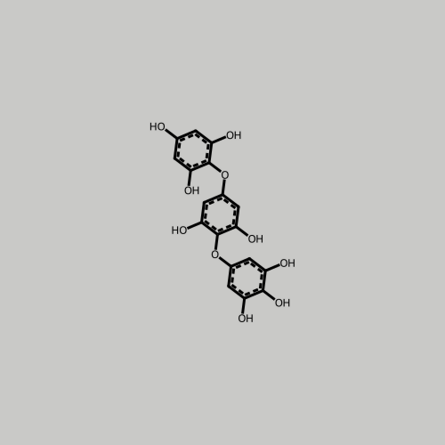 Oc1cc(O)c(Oc2cc(O)c(Oc3cc(O)c(O)c(O)c3)c(O)c2)c(O)c1